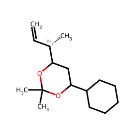 C=C[C@H](C)C1CC(C2CCCCC2)OC(C)(C)O1